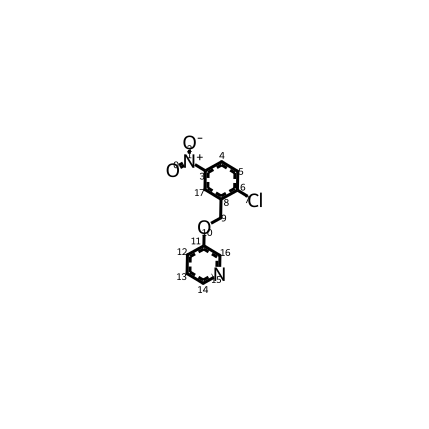 O=[N+]([O-])c1ccc(Cl)c(COc2cccnc2)c1